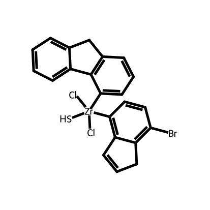 [SH][Zr]([Cl])([Cl])([c]1ccc(Br)c2c1C=CC2)[c]1cccc2c1-c1ccccc1C2